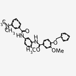 COc1cc(C(=O)Nc2cc(NC(=O)c3cccc(N(C)C)c3)ccc2C)ccc1OCc1ccccc1